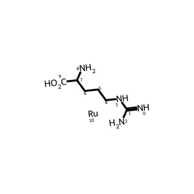 N=C(N)NCCCC(N)C(=O)O.[Ru]